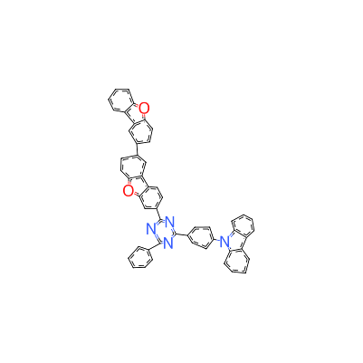 c1ccc(-c2nc(-c3ccc(-n4c5ccccc5c5ccccc54)cc3)nc(-c3ccc4c(c3)oc3ccc(-c5ccc6oc7ccccc7c6c5)cc34)n2)cc1